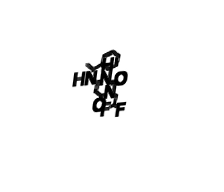 CC(Nc1cc(=O)n(CC(F)F)c(=O)[nH]1)c1ccccc1